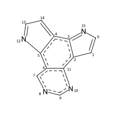 C1=Cc2c(c3c(c4cncnc24)N=CC=3)=N1